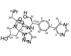 Cc1ncncc1-c1ccc([C@H](CO)NC(=O)C2(n3ccnn3)CC(O)CN2C(=O)CC(C)C)cc1